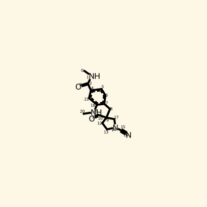 CNC(=O)c1ccc(CC2(C=O)CCN(C#N)C2)c(NC)c1